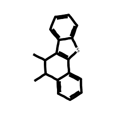 CC1c2ccccc2-c2sc3ccccc3c2C1C